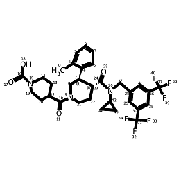 Cc1ccccc1[C@@H]1CN(C(=O)C2CCN(C(=O)O)CC2)CC[C@H]1C(=O)N(Cc1cc(C(F)(F)F)cc(C(F)(F)F)c1)C1CC1